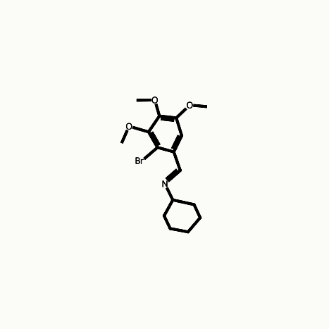 COc1cc(C=NC2CCCCC2)c(Br)c(OC)c1OC